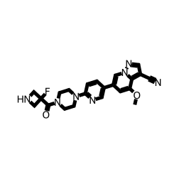 COc1cc(-c2ccc(N3CCN(C(=O)C4(F)CNC4)CC3)nc2)cn2ncc(C#N)c12